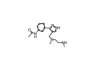 CNCCN(C)Cc1c[nH]nc1-c1cccc(NC(C)=O)c1